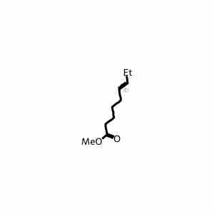 [CH2]C/C=C/CCCCC(=O)OC